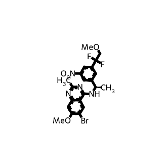 COCC(F)(F)c1cc([C@@H](C)Nc2nc(C)nc3cc(OC)c(Br)cc23)cc([N+](=O)[O-])c1